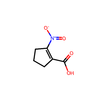 O=C(O)C1=C([N+](=O)[O-])CCC1